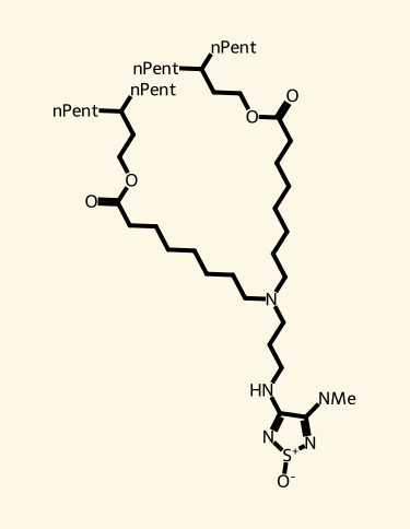 CCCCCC(CCCCC)CCOC(=O)CCCCCCCN(CCCCCCCC(=O)OCCC(CCCCC)CCCCC)CCCNc1n[s+]([O-])nc1NC